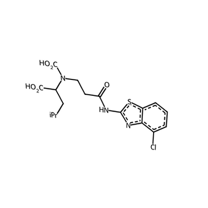 CC(C)CC(C(=O)O)N(CCC(=O)Nc1nc2c(Cl)cccc2s1)C(=O)O